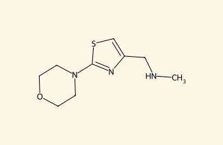 CNCc1csc(N2CCOCC2)n1